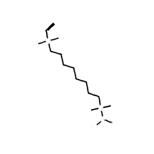 C=C[Si](C)(C)CCCCCCCC[Si](C)(C)N(CC)CC